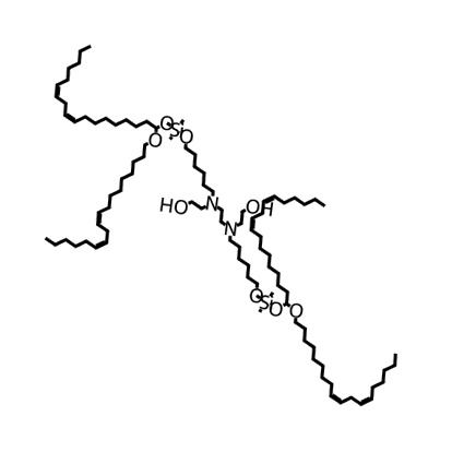 CCCCC/C=C\C/C=C\CCCCCCCCOC(CCCCCCC/C=C\C/C=C\CCCCC)O[Si](C)(C)OCCCCCCN(CCO)CCN(CCO)CCCCCCO[Si](C)(C)OC(CCCCCCC/C=C\C/C=C\CCCCC)OCCCCCCCC/C=C\C/C=C\CCCCC